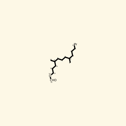 CC(C)CCCC(C)CCCC(C)CCCOC=O